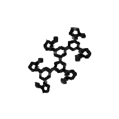 O=C1CCCN1C1CC(C2CC(C3CC(N4CCCC4=O)CC(N4CCCC4=O)C3)CC(N3CCCC3=O)C2)CC(C2CC(N3CCCC3=O)CC(N3CCCC3=O)C2)C1